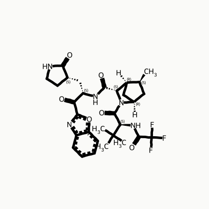 C[C@H]1C[C@@H]2C[C@H]1[C@@H](C(=O)N[C@@H](C[C@@H]1CCNC1=O)C(=O)c1nc3ccccc3o1)N2C(=O)[C@@H](NC(=O)C(F)(F)F)C(C)(C)C